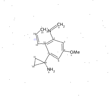 C=Nc1cc(OC)cc(C2(N)CC2)c1/C=C\C